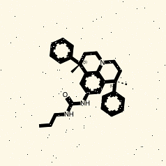 CCCNC(=O)Nc1cc2c3c(c1)[C@](C)(c1ccccc1)CCN3CC[C@@]2(C)c1ccccc1